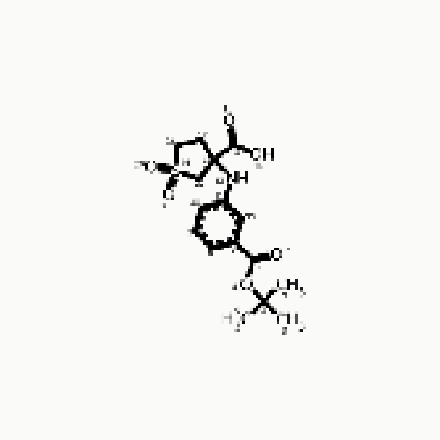 CC(C)(C)OC(=O)c1cccc(NC2(C(=O)O)CCS(=O)(=O)C2)c1